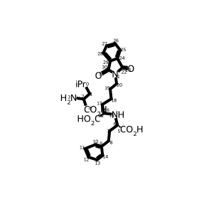 CC(C)CC(N)C(=O)O.O=C(O)[C@H](CCc1ccccc1)N[C@H](CCCCN1C(=O)c2ccccc2C1=O)C(=O)O